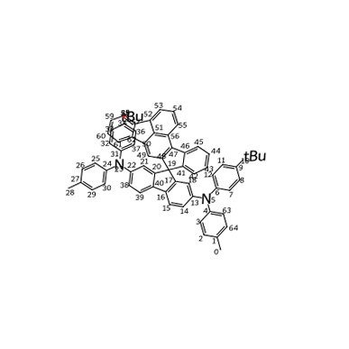 Cc1ccc(N(c2ccc(C(C)(C)C)cc2)c2ccc3c(c2)C2(c4cc(N(c5ccc(C)cc5)c5ccc(C(C)(C)C)cc5)ccc4-3)c3ccccc3-c3c2cc2c4c(cccc34)-c3ccccc3-2)cc1